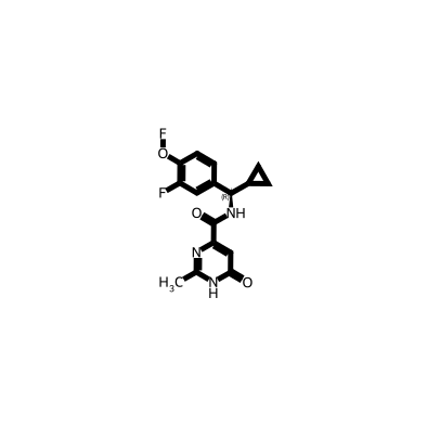 Cc1nc(C(=O)N[C@@H](c2ccc(OF)c(F)c2)C2CC2)cc(=O)[nH]1